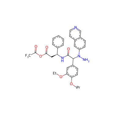 CCOc1cc(C(C(=O)N[C@@H](CC(=O)OC(=O)C(F)(F)F)c2ccccc2)N(N)c2ccc3cnccc3c2)ccc1OC(C)C